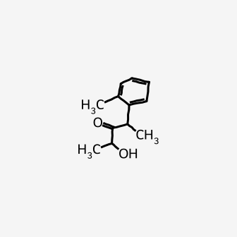 Cc1ccccc1C(C)C(=O)C(C)O